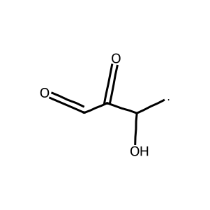 [CH2]C(O)C(=O)C=O